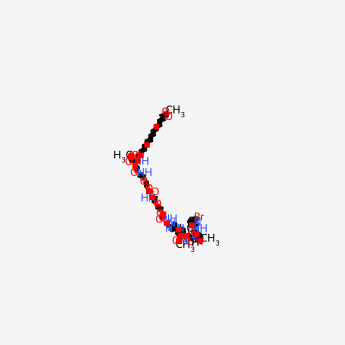 COC(=O)CCCCCCCCCCCCCCCCC(=O)N[C@@H](CCC(=O)NCCOCCOCC(=O)NCCOCCOCC(=O)NCc1ncc(-c2cc3c(C(C)=O)nn(CC(=O)N4[C@H](C(=O)Nc5nc(Br)ccc5C)C[C@@]5(C)C[C@@H]45)c3cn2)cn1)C(=O)OC